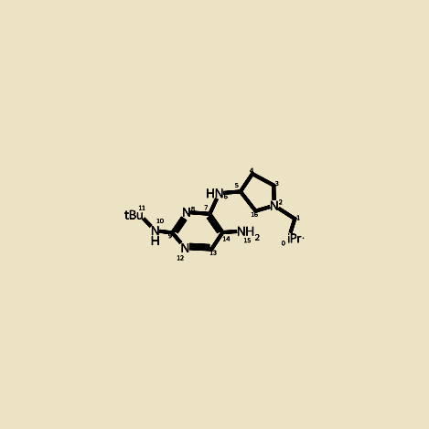 C[C](C)CN1CCC(Nc2nc(NC(C)(C)C)ncc2N)C1